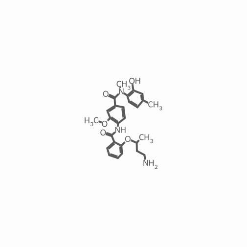 COc1cc(C(=O)N(C)c2ccc(C)cc2O)ccc1NC(=O)c1ccccc1OC(C)CCN